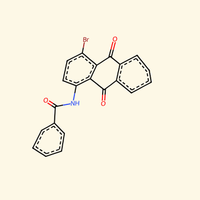 O=C(Nc1ccc(Br)c2c1C(=O)c1ccccc1C2=O)c1ccccc1